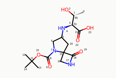 C[C@@H](O)[C@H](NC1CN(C(=O)OC(C)(C)C)C2(CNC2=O)C1)C(=O)O